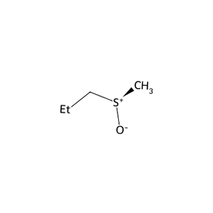 CCC[S@@+](C)[O-]